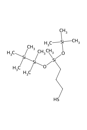 C[Si](C)(C)O[Si](C)(CCCS)O[Si](C)(C)[Si](C)(C)C